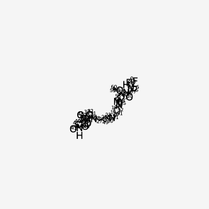 CC(F)(F)c1cccc(C(=O)Nc2cc3cn([C@H]4CC[C@H](CN5CC6(CC(CCNc7cccc8c7C(=O)N(C7CCC(=O)NC7=O)C8=O)C6)C5)CC4)nc3cc2OC2CC2)n1